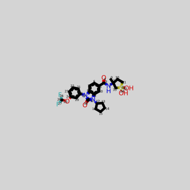 CC1(NC(=O)c2ccc3c(c2)n(C2CCCC2)c(=O)n3-c2cccc(OC(F)F)c2)CCS(O)(O)C1